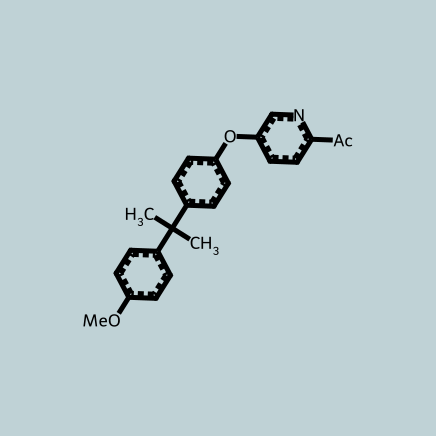 COc1ccc(C(C)(C)c2ccc(Oc3ccc(C(C)=O)nc3)cc2)cc1